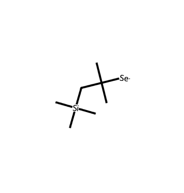 CC(C)([Se])C[Si](C)(C)C